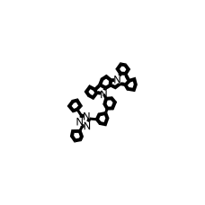 c1ccc(-c2nc(-c3ccccc3)nc(-c3cccc(-c4cccc(-n5c6ccccc6c6ccc7c(cc8c9ccccc9c9ccccc9n87)c65)c4)c3)n2)cc1